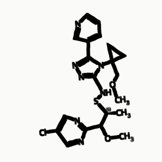 COCC1(n2c(NS[C@@H](C)C(OC)c3ncc(Cl)cn3)nnc2-c2cccnc2)CC1